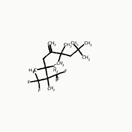 C=C(CC(C)(C)C(C)(C(F)(F)F)C(F)(F)F)C(C)(C)CC(C)(C)C